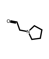 O=CCN1CCCC1